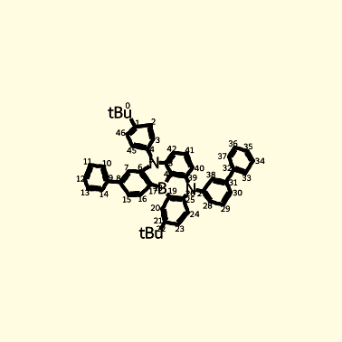 CC(C)(C)c1ccc(N2c3cc(-c4ccccc4)ccc3B3c4cc(C(C)(C)C)ccc4N(c4cccc(-c5ccccc5)c4)c4cccc2c43)cc1